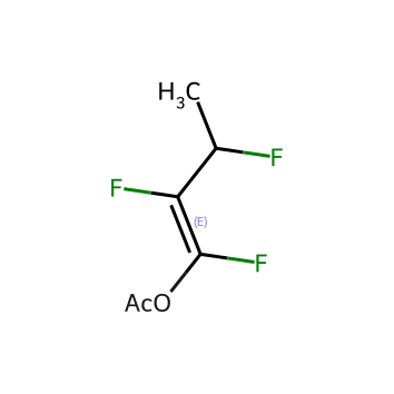 CC(=O)O/C(F)=C(\F)C(C)F